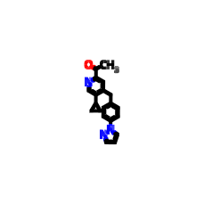 CC(=O)c1cc(Cc2ccc(-n3cccn3)cc2)c(C2CC2)cn1